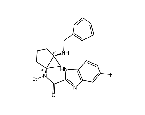 CCN(C(=O)c1nc2cc(F)ccc2[nH]1)[C@@]12CCC[C@]1(NCc1ccccc1)C2